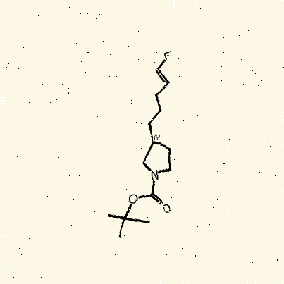 CC(C)(C)OC(=O)N1CC[C@H](CCCC=CF)C1